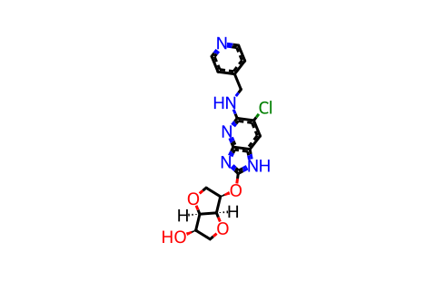 O[C@@H]1CO[C@H]2[C@@H]1OC[C@H]2Oc1nc2nc(NCc3ccncc3)c(Cl)cc2[nH]1